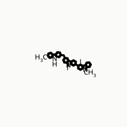 Cc1ccc2c(c1)[nH]c1cc(Cc3ccc4c(c3)c3ccc(-c5ccc6c(c5I)c5ccccc5n6C)cc3n4I)ccc12